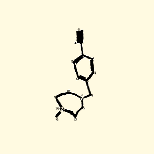 C#Cc1ccc(CN2CCN(C)CC2)cc1